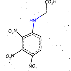 O=C(O)CNc1ccc([N+](=O)[O-])c([N+](=O)[O-])c1[N+](=O)[O-]